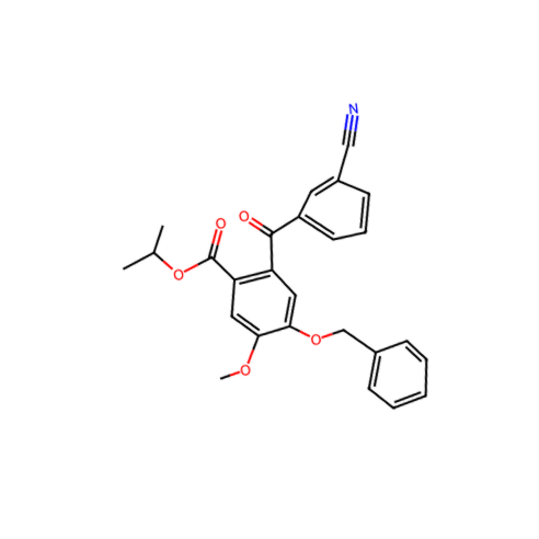 COc1cc(C(=O)OC(C)C)c(C(=O)c2cccc(C#N)c2)cc1OCc1ccccc1